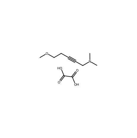 COCCC#CCN(C)C.O=C(O)C(=O)O